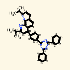 CC(C)c1ccc2ccc3c(-c4ccc(-c5nc(-c6ccccc6)nc(-c6ccccc6)n5)cc4)cc(C(C)C)nc3c2n1